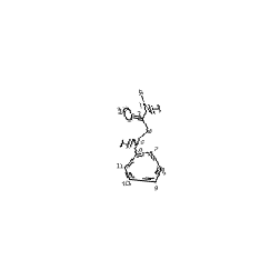 CNC(=O)CNc1ccccc1